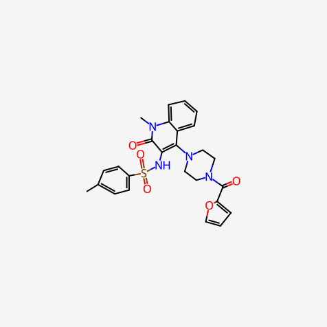 Cc1ccc(S(=O)(=O)Nc2c(N3CCN(C(=O)c4ccco4)CC3)c3ccccc3n(C)c2=O)cc1